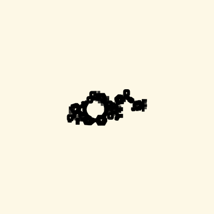 CCn1c(-c2cccnc2[C@H](C)OC)c2c3cc(ccc31)-c1cccc(c1)C[C@H](NC(=O)[C@H](C(C)C)N(C)C(=O)[C@H]1CCN(C(=O)C#C[C@@H]3CC(F)(F)CN3C)C1)C(=O)N1CCC[C@H](N1)C(=O)OCC(C)(C)C2